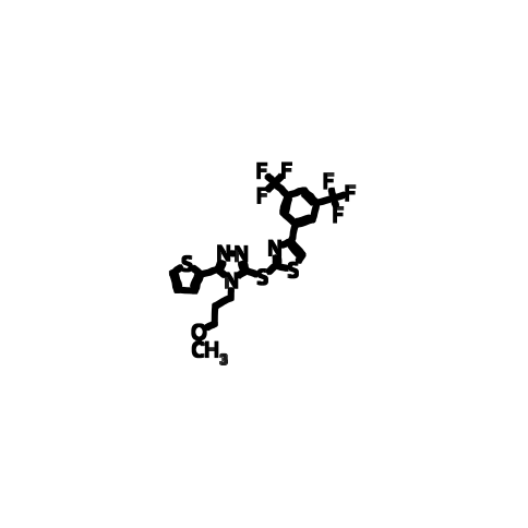 COCCCn1c(Sc2nc(-c3cc(C(F)(F)F)cc(C(F)(F)F)c3)cs2)nnc1-c1cccs1